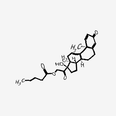 CCCCC(=O)OCC(=O)[C@@]1(O)CC[C@H]2[C@@H]3CCC4=CC(=O)C=C[C@]4(C)C3=CC[C@@]21C